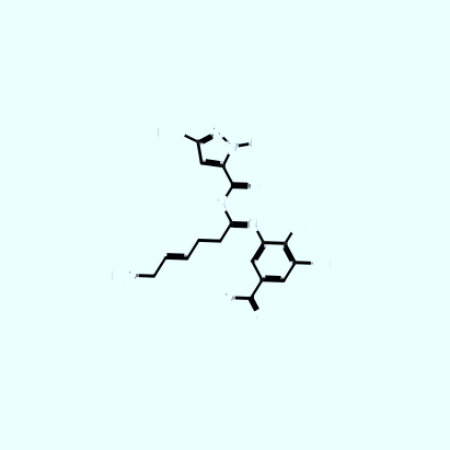 CCn1nc(C)cc1C(=O)N/C(CC/C=C/CN)=N/c1cc(C(N)=O)cc(C)c1C